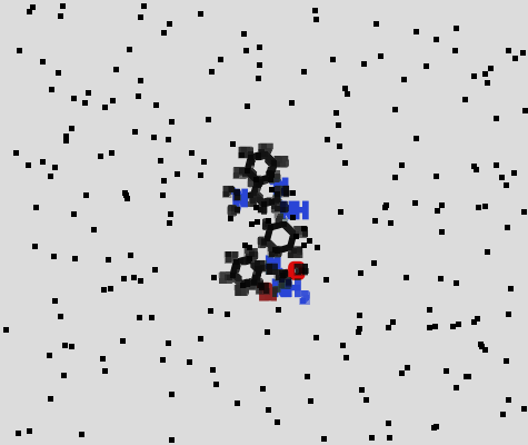 CN(C)c1cc(N[C@H]2CC[C@@H](N(C(N)=O)c3ccccc3Br)CC2)nc2ccccc12